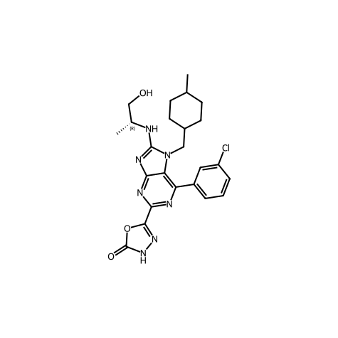 CC1CCC(Cn2c(N[C@H](C)CO)nc3nc(-c4n[nH]c(=O)o4)nc(-c4cccc(Cl)c4)c32)CC1